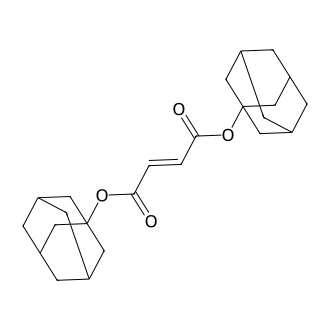 O=C(/C=C/C(=O)OC12CC3CC(CC(C3)C1)C2)OC12CC3CC(CC(C3)C1)C2